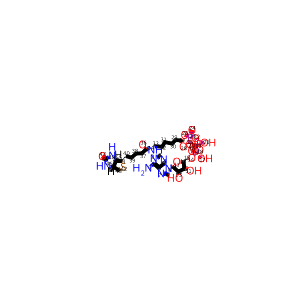 Nc1ncnc2c1ncn2[C@@H]1O[C@H](COP(=O)(O)OP(=O)(O)OP(=O)(O)OC(=O)CCCCCNC(=O)CCCC[C@@H]2SC[C@@H]3NC(=O)N[C@@H]32)C(O)[C@@H]1O